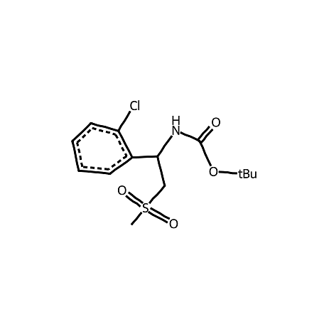 CC(C)(C)OC(=O)NC(CS(C)(=O)=O)c1ccccc1Cl